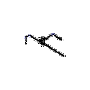 CCCCC/C=C\C/C=C\CCCCCCCC(=O)O[C@@H](COC(=O)CCCCCCC/C=C\CCCCCCCC)COC(=O)CCCCCCCCCCCCCCCCCCC